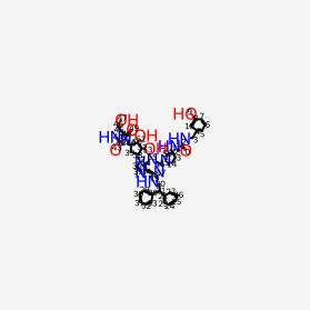 O=C(NCc1cccc(O)c1)N[C@@H]1CCN(c2nc(NCC(c3ccccc3)c3ccccc3)c3ncn([C@@H]4C[C@H](N5C(=O)NC(CO)C5=O)[C@@H](O)[C@H]4O)c3n2)C1